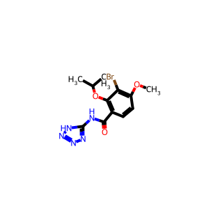 COc1ccc(C(=O)Nc2nnn[nH]2)c(OC(C)C)c1Br